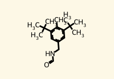 Cc1c(C(C)(C)C)cc(CNC=O)cc1C(C)(C)C